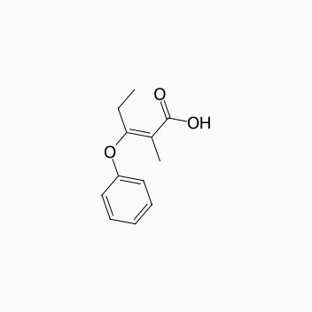 CCC(Oc1ccccc1)=C(C)C(=O)O